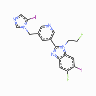 FCCn1c(-c2cncc(Cn3cncc3I)c2)nc2cc(F)c(I)cc21